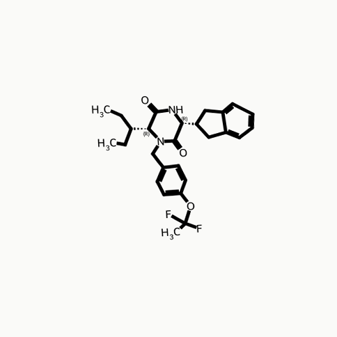 CCC(CC)[C@@H]1C(=O)N[C@H](C2Cc3ccccc3C2)C(=O)N1Cc1ccc(OC(C)(F)F)cc1